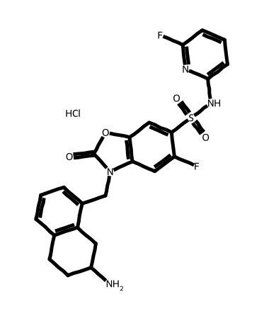 Cl.NC1CCc2cccc(Cn3c(=O)oc4cc(S(=O)(=O)Nc5cccc(F)n5)c(F)cc43)c2C1